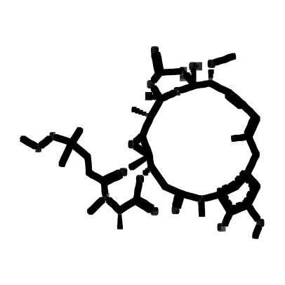 COc1cc2cc(c1Cl)N(C)C(=O)C[C@H](OC(=O)[C@H](C)N(C)C(=O)CCC(C)(C)SSC)[C@]1(C)OC1[C@H](C)[C@@H]1C[C@@](O)(NC(=O)O1)[C@H](OC)/C=C/C=C(\C)C2